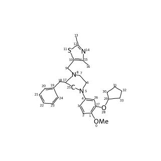 COc1ccc(N2CCN(Cc3sc(C)nc3C)C(Cc3ccccc3)C2)cc1OC1CCCC1